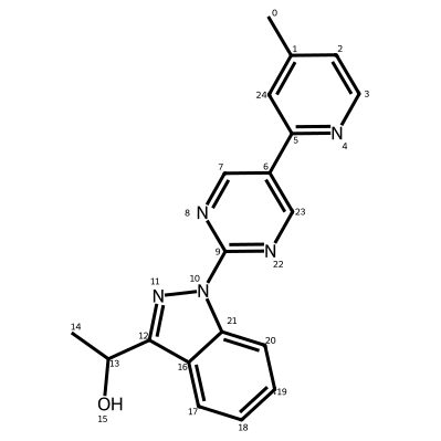 Cc1ccnc(-c2cnc(-n3nc(C(C)O)c4cc[c]cc43)nc2)c1